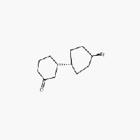 CC[C@H]1CC[C@H](C2CCCC(=O)C2)CC1